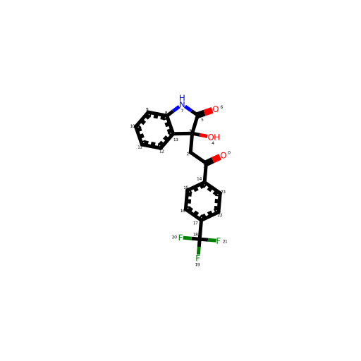 O=C(CC1(O)C(=O)Nc2ccccc21)c1ccc(C(F)(F)F)cc1